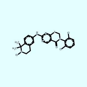 CCN1CCc2cc(Nc3ncc4c(n3)SCN(c3c(Cl)cccc3Cl)C4=O)ccc2C1(C)C